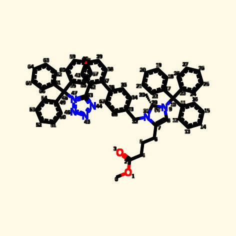 COC(=O)CCCC1=CN(C(c2ccccc2)(c2ccccc2)c2ccccc2)[C@@H](C)N1Cc1ccc(-c2ccccc2-c2nnnn2C(c2ccccc2)(c2ccccc2)c2ccccc2)cc1